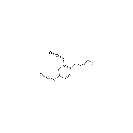 C=CCc1ccc(N=C=O)cc1N=C=O